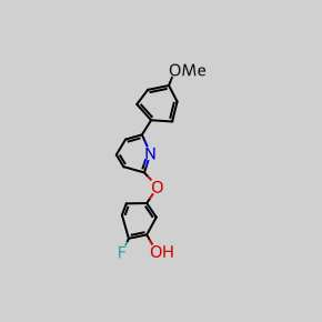 COc1ccc(-c2cccc(Oc3ccc(F)c(O)c3)n2)cc1